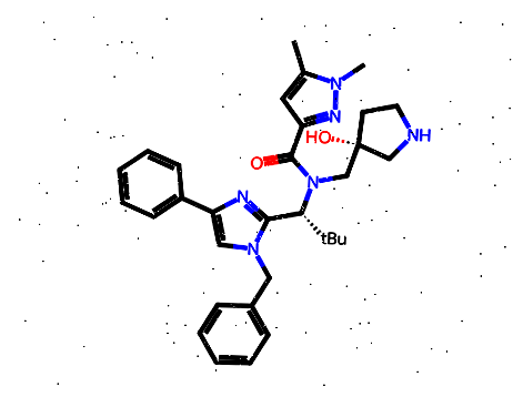 Cc1cc(C(=O)N(C[C@@]2(O)CCNC2)[C@@H](c2nc(-c3ccccc3)cn2Cc2ccccc2)C(C)(C)C)nn1C